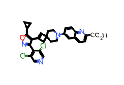 O=C(O)c1ccc2cc(N3CCC4(C=C(c5c(-c6c(Cl)cncc6Cl)noc5C5CC5)C4)CC3)ccc2n1